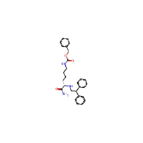 NC(=O)[C@H](CCCCNC(=O)OCc1ccccc1)NCC(c1ccccc1)c1ccccc1